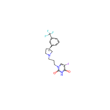 O=c1[nH]c(=O)n(CCCN2CC[C@@H](c3cccc(C(F)(F)F)c3)C2)cc1I